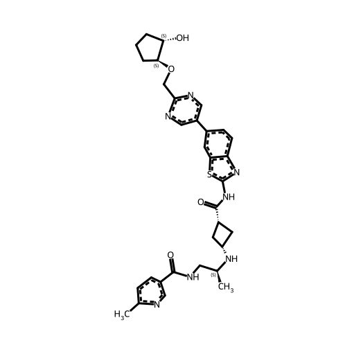 Cc1ccc(C(=O)NC[C@H](C)N[C@H]2C[C@@H](C(=O)Nc3nc4ccc(-c5cnc(CO[C@H]6CCC[C@@H]6O)nc5)cc4s3)C2)cn1